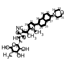 C/C(=C(/C#N)S(=O)(=O)NC[C@H]1OC(O)[C@H](C)[C@@H](O)[C@@H]1O)c1ccc(-c2ccc3cc(N4CCOCC4)ccc3c2)n1C